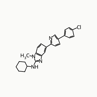 Cn1c(NC2CCCCC2)nc2cc(-c3ccc(-c4ccc(Cl)cc4)cn3)ccc21